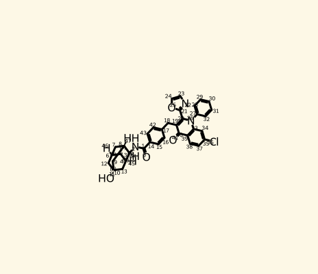 O=C(N[C@H]1[C@@H]2C[C@H]3C[C@H]1C[C@](O)(C3)C2)c1ccc(Cc2c(-c3ncco3)n(-c3ccccc3)c3cc(Cl)ccc3c2=O)cc1